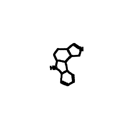 C1=CC2NC3CCC4C=NCC4C3C2C=C1